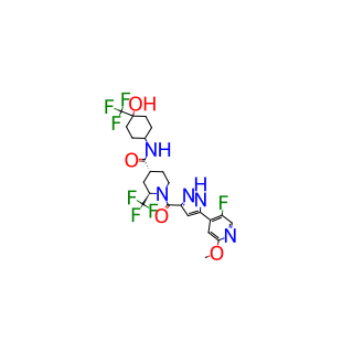 COc1cc(-c2cc(C(=O)N3CC[C@@H](C(=O)NC4CCC(O)(C(F)(F)F)CC4)C[C@@H]3C(F)(F)F)n[nH]2)c(F)cn1